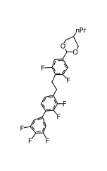 CCCC1COC(c2cc(F)c(CCc3ccc(-c4cc(F)c(F)c(F)c4)c(F)c3F)c(F)c2)OC1